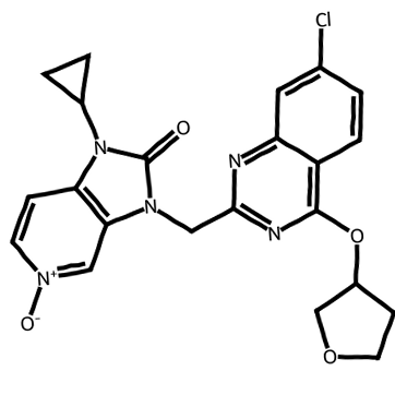 O=c1n(Cc2nc(OC3CCOC3)c3ccc(Cl)cc3n2)c2c[n+]([O-])ccc2n1C1CC1